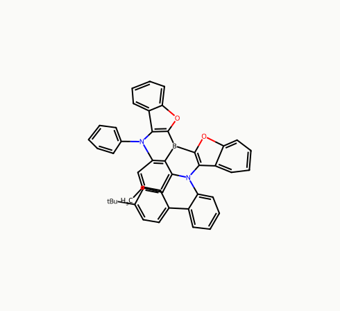 Cc1cc2c3c(c1)N(c1ccccc1-c1ccc(C(C)(C)C)cc1)c1c(oc4ccccc14)B3c1oc3ccccc3c1N2c1ccccc1